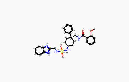 COc1ccccc1C(=O)NC[C@]1(c2ccccc2)CC[C@H](NS(=O)(=O)NCc2nc3ccccc3[nH]2)CC1